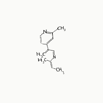 C=C(/C=N\C(C)=C/C)c1ccnc(C)c1